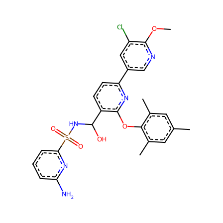 COc1ncc(-c2ccc(C(O)NS(=O)(=O)c3cccc(N)n3)c(Oc3c(C)cc(C)cc3C)n2)cc1Cl